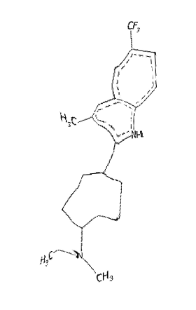 Cc1c(C2CCC(N(C)C)CC2)[nH]c2ccc(C(F)(F)F)cc12